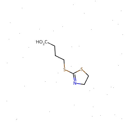 O=C(O)CCCSC1=NCCS1